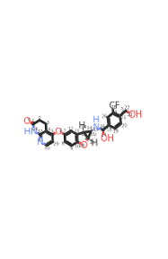 O=C1CCc2c(Oc3ccc4c(c3)[C@H]3[C@H](NC(O)c5ccc(CO)c(C(F)(F)F)c5)[C@H]3O4)ccnc2N1